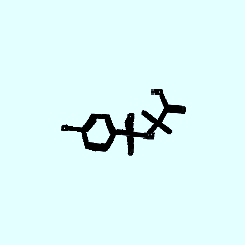 CC(C)(NS(=O)(=O)c1ccc(Cl)cc1)C(=O)O